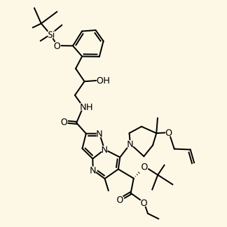 C=CCOC1(C)CCN(c2c([C@H](OC(C)(C)C)C(=O)OCC)c(C)nc3cc(C(=O)NCC(O)Cc4ccccc4O[Si](C)(C)C(C)(C)C)nn23)CC1